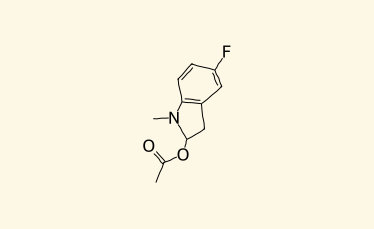 CC(=O)OC1Cc2cc(F)ccc2N1C